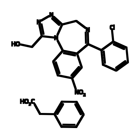 O=C(O)Cc1ccccc1.O=[N+]([O-])c1ccc2c(c1)C(c1ccccc1Cl)=NCc1nnc(CO)n1-2